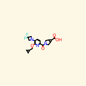 O=C(O)C1C2CN(C(=O)c3ccc(N4CC(F)(F)C4)c(OCC4CC4)n3)CC21